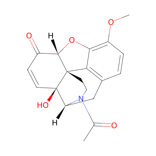 COc1ccc2c3c1O[C@H]1C(=O)C=C[C@@]4(O)[C@@H](C2)N(C(C)=O)CC[C@]314